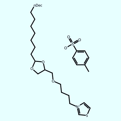 CCCCCCCCCCCCCCCCCC1OCC(COCCCC[n+]2ccsc2)O1.Cc1ccc(S(=O)(=O)[O-])cc1